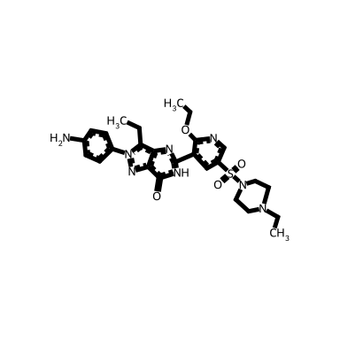 CCOc1ncc(S(=O)(=O)N2CCN(CC)CC2)cc1-c1nc2c(CC)n(-c3ccc(N)cc3)nc2c(=O)[nH]1